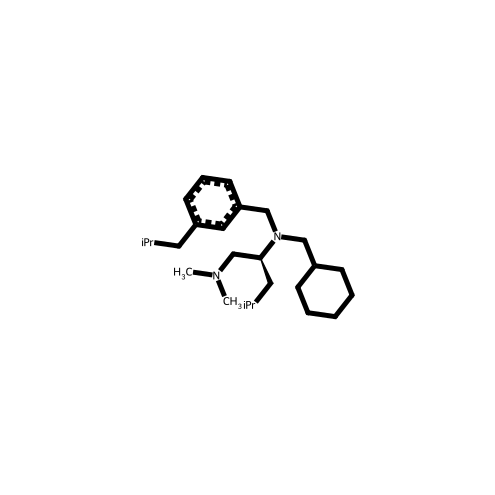 CC(C)Cc1cccc(CN(CC2CCCCC2)[C@@H](CC(C)C)CN(C)C)c1